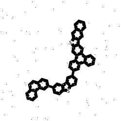 c1ccc2cc3c(cc2c1)sc1cc2c4ccc(-c5ccc6sc7ccc(-c8ccc9ccc%10ccccc%10c9c8)cc7c6c5)cc4c4ccccc4c2cc13